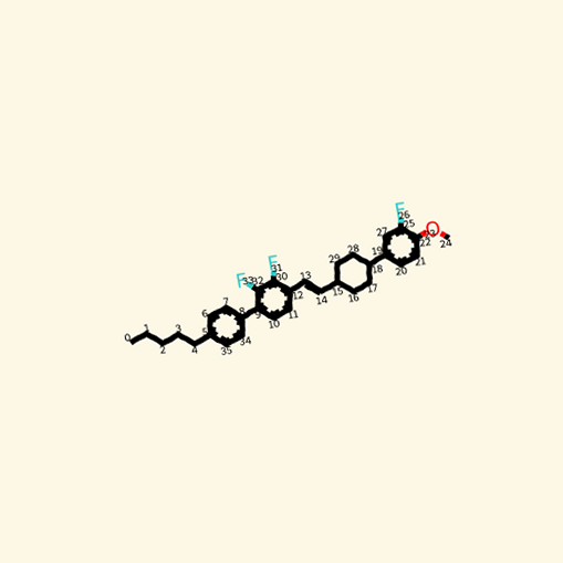 CCCCCc1ccc(-c2ccc(/C=C/C3CCC(c4ccc(OC)c(F)c4)CC3)c(F)c2F)cc1